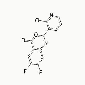 O=c1oc(-c2cccnc2Cl)nc2cc(F)c(F)cc12